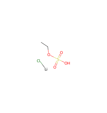 CCOS(=O)(=O)O.[Li][Cl]